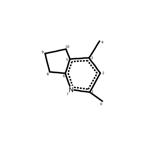 Cc1cc(C)c2c(n1)CCC2